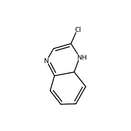 ClC1=CN=C2C=CC=CC2N1